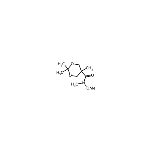 CON(C)C(=O)C1(C)COC(C)(C)OC1